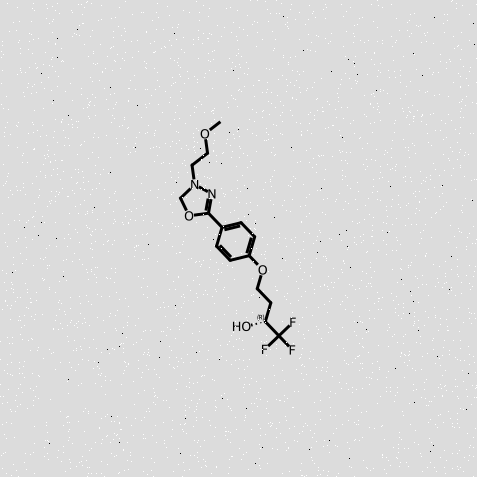 COCCN1COC(c2ccc(OCC[C@@H](O)C(F)(F)F)cc2)=N1